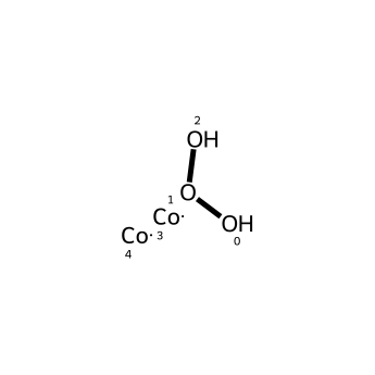 OOO.[Co].[Co]